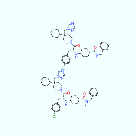 CN(Cc1ccccc1)C(=O)[C@H]1CC[C@@H](N[C@H](Cc2ccc(Cl)cc2)C(=O)N2CCC(Cn3cncn3)(C3CCCCC3)CC2)CC1.CN(Cc1ccccc1)C(=O)[C@H]1CC[C@H](N[C@H](Cc2ccc(Cl)cc2)C(=O)N2CCC(Cn3cncn3)(C3CCCCC3)CC2)CC1